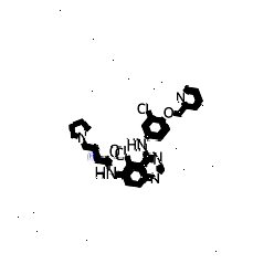 O=C(/C=C/CN1CCCC1)Nc1ccc2ncnc(Nc3ccc(OCc4ccccn4)c(Cl)c3)c2c1Cl